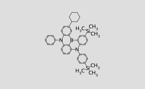 C[Si](C)(C)c1ccc(N2c3ccc([Si](C)(C)C)cc3B3c4cc(C5CCCCC5)ccc4N(c4ccccc4)c4cccc2c43)cc1